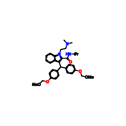 COCOc1ccc(C(c2ccc(OCOC)cc2)c2c(C(=O)NC(C)C)n(CCN(C)C)c3ccccc23)cc1